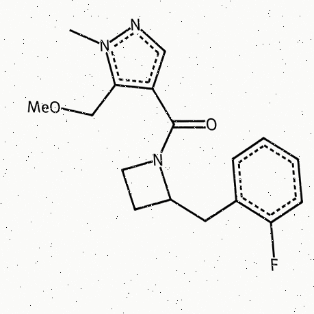 COCc1c(C(=O)N2CCC2Cc2ccccc2F)cnn1C